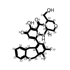 O=C1c2c(O)c(=O)cc(-c3cc(F)c(F)c4c3Cc3ccccc3SC4)n2N[C@@H]2COCC(CO)N12